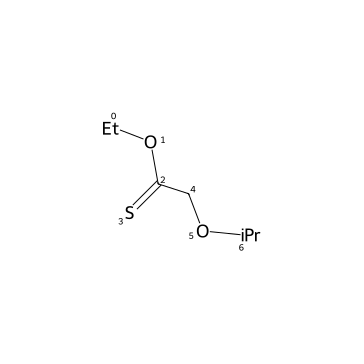 CCOC(=S)COC(C)C